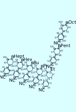 CCC1CCC(c2ccc(C#N)cc2)CC1C.CCCC1CCC(c2ccc(C#N)cc2)CC1C.CCCCC1CCC(c2ccc(C#N)cc2)CC1C.CCCCCC1CCC(c2ccc(C#N)cc2)CC1C.CCCCCCC1CCC(c2ccc(C#N)cc2)CC1C.CCCCCCCC1CCC(c2ccc(C#N)cc2)CC1C.CCCCCCCCC1CCC(c2ccc(C#N)cc2)CC1C